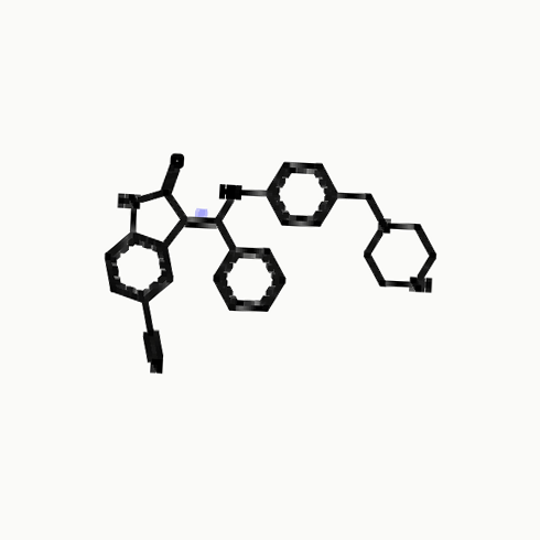 N#Cc1ccc2c(c1)/C(=C(/Nc1ccc(CN3CCNCC3)cc1)c1ccccc1)C(=O)N2